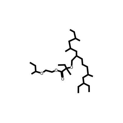 CCC(C)CC(C)CC(CCCC(C)CC(CC)CC)COC(C)(CC)C(=O)OCCOC(C)CC